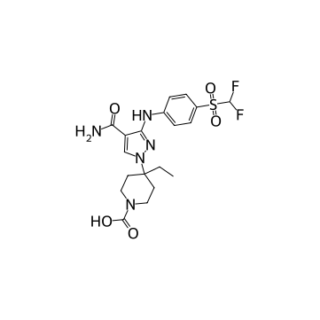 CCC1(n2cc(C(N)=O)c(Nc3ccc(S(=O)(=O)C(F)F)cc3)n2)CCN(C(=O)O)CC1